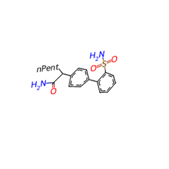 CCCCCC(C(N)=O)c1ccc(-c2ccccc2S(N)(=O)=O)cc1